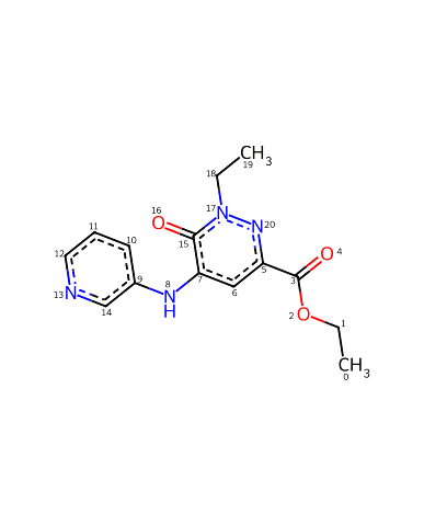 CCOC(=O)c1cc(Nc2cccnc2)c(=O)n(CC)n1